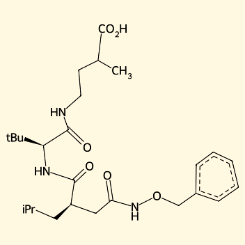 CC(C)C[C@H](CC(=O)NOCc1ccccc1)C(=O)N[C@H](C(=O)NCCC(C)C(=O)O)C(C)(C)C